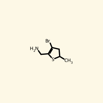 CC1CC(Br)=C(CN)S1